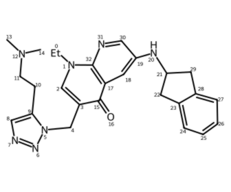 CCn1cc(Cn2nncc2CCN(C)C)c(=O)c2cc(NC3Cc4ccccc4C3)cnc21